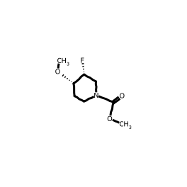 COC(=O)N1CC[C@H](OC)[C@H](F)C1